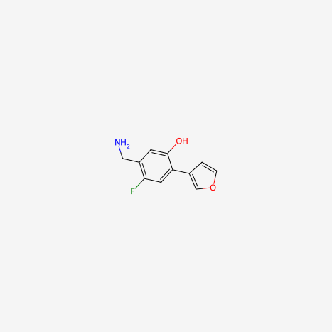 NCc1cc(O)c(-c2ccoc2)cc1F